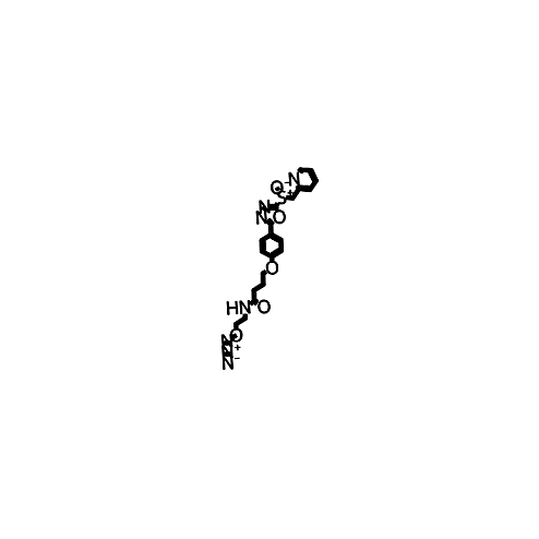 [N-]=[N+]=NOCCNC(=O)CCCOc1ccc(-c2nnc([S+]([O-])Cc3ccccn3)o2)cc1